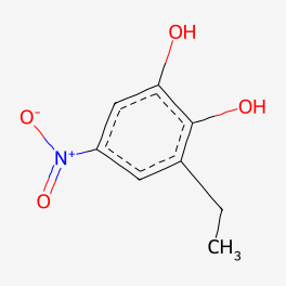 CCc1cc([N+](=O)[O-])cc(O)c1O